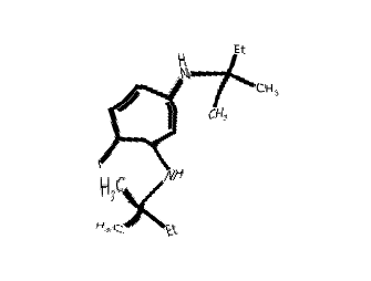 CCC(C)(C)NC1=CC(NC(C)(C)CC)C(I)C=C1